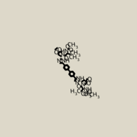 COC(=O)N[C@H](C(=O)N1CC2(COCO2)C[C@H]1c1ncc(-c2ccc(-c3ccc(-c4cnc([C@@H]5CC6(CN5C(=O)[C@@H](NC(=O)OC)C(C)C)OCCO6)[nH]4)cc3)cc2)[nH]1)C(C)C